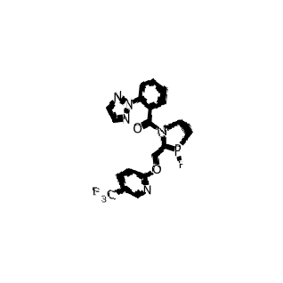 O=C(c1ccccc1-n1nccn1)N1CCP(F)C1COc1ccc(C(F)(F)F)cn1